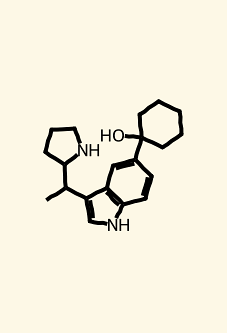 CC(c1c[nH]c2ccc(C3(O)CCCCC3)cc12)C1CCCN1